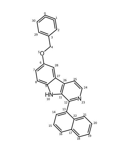 C1=C=CC(COc2ccc3[nH]c4c(-c5cccc6ccccc56)nccc4c3c2)=CC=1